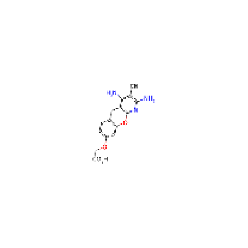 N#Cc1c(N)nc2c(c1N)Cc1ccc(OCC(=O)O)cc1O2